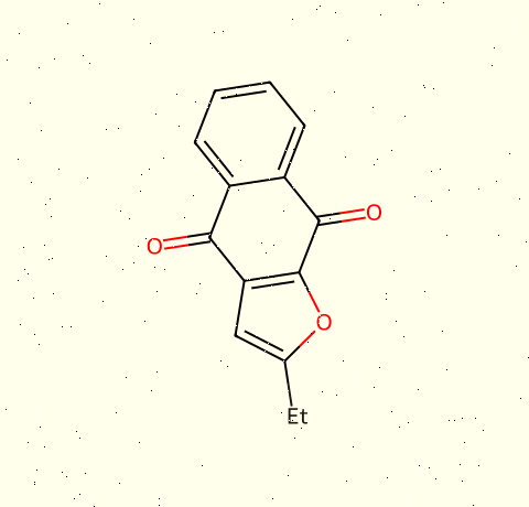 CCc1cc2c(o1)C(=O)c1ccccc1C2=O